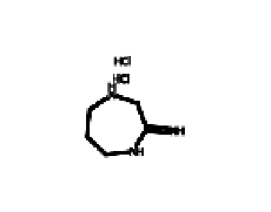 Cl.Cl.N=C1CNCCCN1